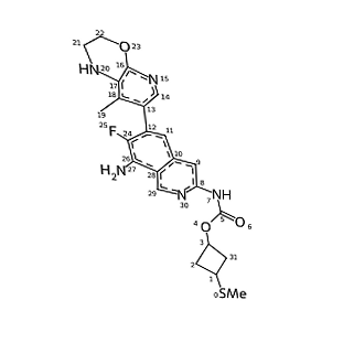 CSC1CC(OC(=O)Nc2cc3cc(-c4cnc5c(c4C)NCCO5)c(F)c(N)c3cn2)C1